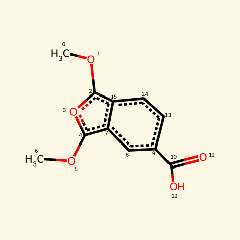 COc1oc(OC)c2cc(C(=O)O)ccc12